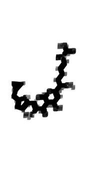 CC(=Cc1ccc(CC2CC2)s1)C(=O)c1c(O)cc(C(C)CCC=CNC(=O)O)oc1=O